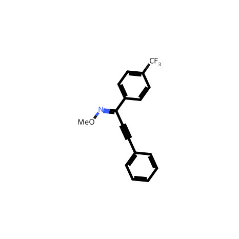 CON=C(C#Cc1ccccc1)c1ccc(C(F)(F)F)cc1